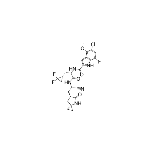 COc1c(Cl)cc(F)c2[nH]c(C(=O)N[C@@H](C[C@@H]3CC3(F)F)C(=O)N[C@H](C#N)C[C@@H]3CC4(CC4)NC3=O)cc12